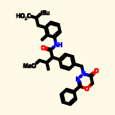 COCC(C)C(C(=O)Nc1cccc(CC(C(=O)O)C(C)(C)C)c1C)c1ccc(CN2N=C(c3ccccc3)OCC2=O)cc1